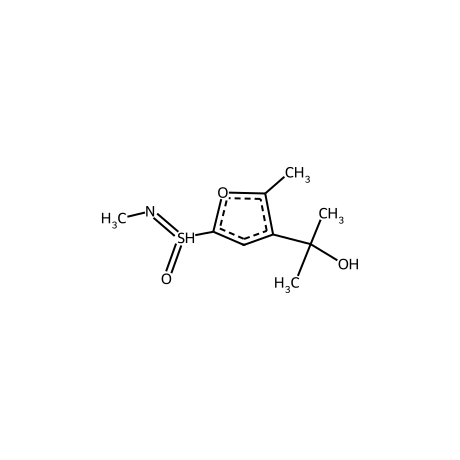 C/N=[SH](=O)/c1cc(C(C)(C)O)c(C)o1